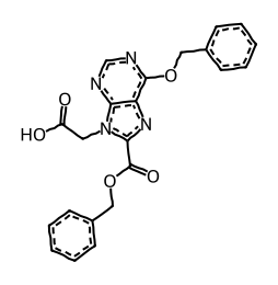 O=C(O)Cn1c(C(=O)OCc2ccccc2)nc2c(OCc3ccccc3)ncnc21